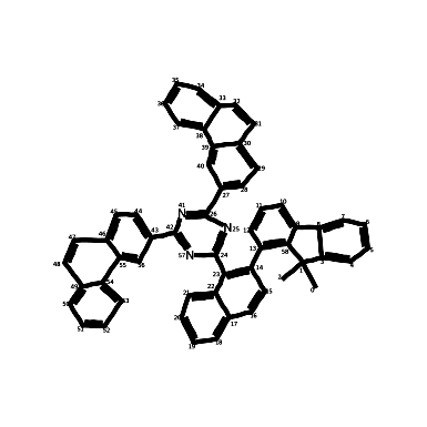 CC1(C)c2ccccc2-c2cccc(-c3ccc4ccccc4c3-c3nc(-c4ccc5ccc6ccccc6c5c4)nc(-c4ccc5ccc6ccccc6c5c4)n3)c21